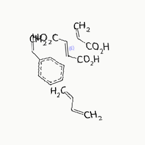 C=CC(=O)O.C=CC=C.C=Cc1ccccc1.O=C(O)/C=C/C(=O)O